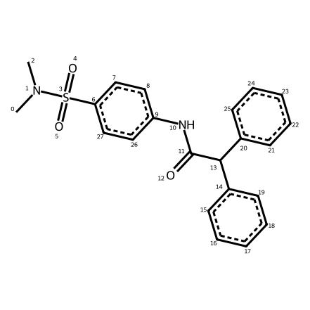 CN(C)S(=O)(=O)c1ccc(NC(=O)C(c2ccccc2)c2ccccc2)cc1